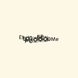 CCOc1ccc(OC(=O)c2ccc(-c3ccc(-c4ccc(OC)cc4)c(F)c3F)cc2)cc1F